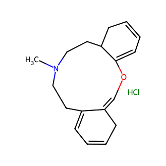 CN1CCC2=CC=CC/C2=C/OC2=CC=CCC2CC1.Cl